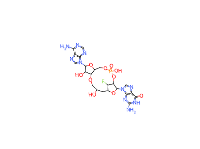 Nc1nc2c(ncn2C2OC3CC(O)COC4C(COP(=O)(O)OC2C3F)OC(n2cnc3c(N)ncnc32)C4O)c(=O)[nH]1